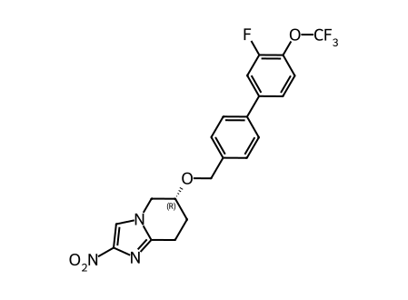 O=[N+]([O-])c1cn2c(n1)CC[C@@H](OCc1ccc(-c3ccc(OC(F)(F)F)c(F)c3)cc1)C2